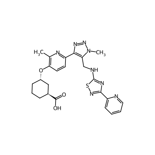 Cc1nc(-c2nnn(C)c2CNc2nc(-c3ccccn3)ns2)ccc1O[C@H]1CCC[C@H](C(=O)O)C1